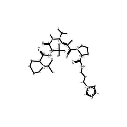 C/C(=C\[C@H](C(C)C)N(C)C(=O)[C@@H](NC(=O)C1CCCCN1C(C)C)C(C)(C)C)C(=O)N1CCC[C@H]1C(=O)NCCCn1ccnc1